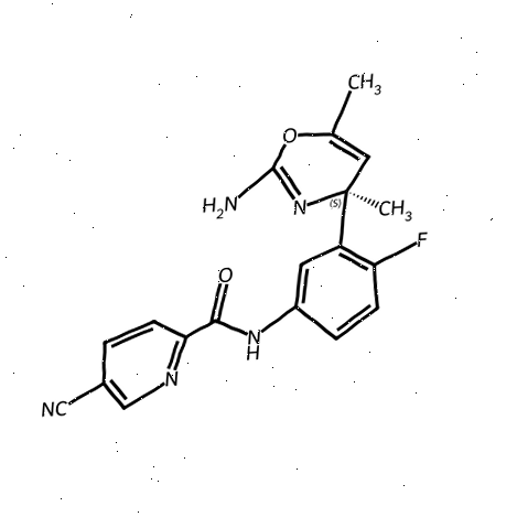 CC1=C[C@@](C)(c2cc(NC(=O)c3ccc(C#N)cn3)ccc2F)N=C(N)O1